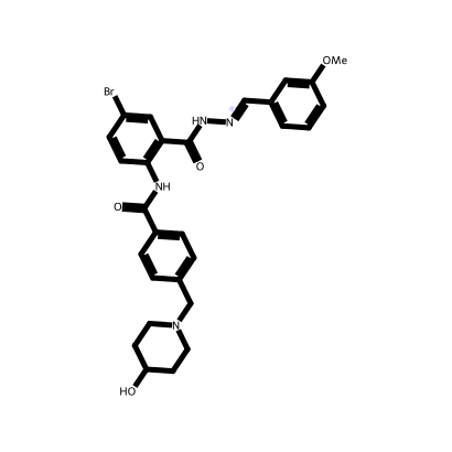 COc1cccc(/C=N/NC(=O)c2cc(Br)ccc2NC(=O)c2ccc(CN3CCC(O)CC3)cc2)c1